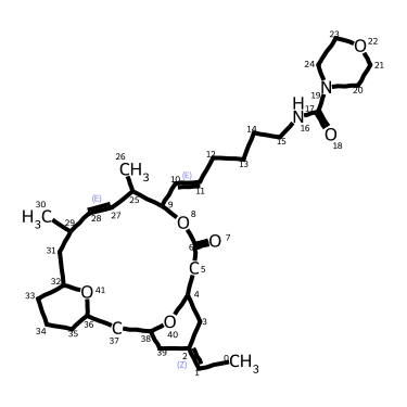 C/C=C1\CC2CC(=O)OC(/C=C/CCCCNC(=O)N3CCOCC3)C(C)/C=C/C(C)CC3CCCC(CC(C1)O2)O3